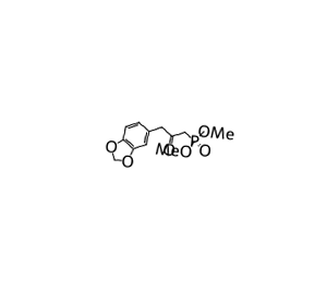 COP(=O)(CC(=O)Cc1ccc2c(c1)OCO2)OC